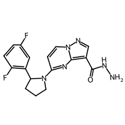 NNC(=O)c1cnn2ccc(N3CCCC3c3cc(F)ccc3F)nc12